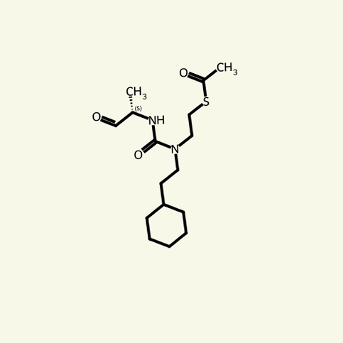 CC(=O)SCCN(CCC1CCCCC1)C(=O)N[C@@H](C)C=O